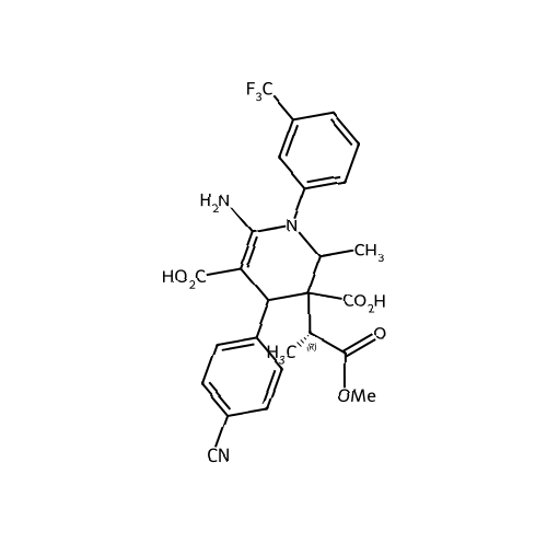 COC(=O)[C@H](C)C1(C(=O)O)C(c2ccc(C#N)cc2)C(C(=O)O)=C(N)N(c2cccc(C(F)(F)F)c2)C1C